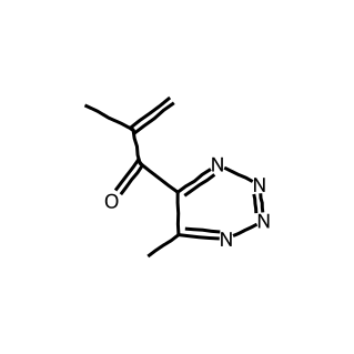 C=C(C)C(=O)c1nnnnc1C